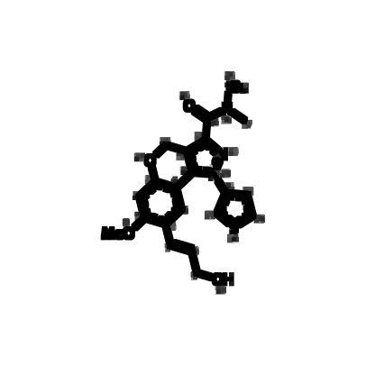 COc1cc2c(cc1C=CCO)-c1c(c(C(=O)N(C)C(C)(C)C)nn1-c1ccsc1)CO2